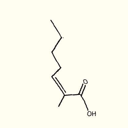 C[CH]CCC=C(C)C(=O)O